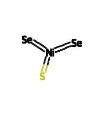 [S]=[Ni](=[Se])=[Se]